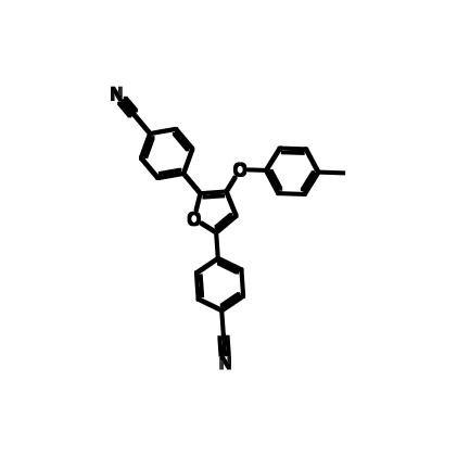 Cc1ccc(Oc2cc(-c3ccc(C#N)cc3)oc2-c2ccc(C#N)cc2)cc1